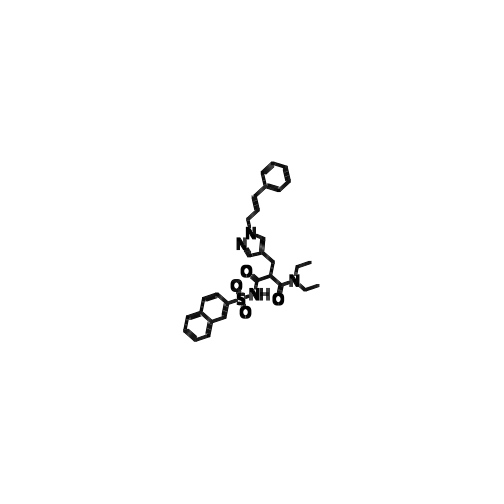 CCN(CC)C(=O)C(Cc1cnn(CC=Cc2ccccc2)c1)C(=O)NS(=O)(=O)c1ccc2ccccc2c1